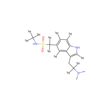 [2H]c1[nH]c2c([2H])c([2H])c(C([2H])([2H])S(=O)(=O)NC([2H])([2H])[2H])c([2H])c2c1CC([2H])([2H])N(C)C